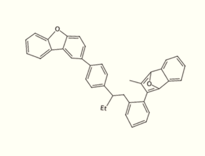 CCC(Cc1ccccc1-c1c(C)c2oc1c1ccccc21)c1ccc(-c2ccc3oc4ccccc4c3c2)cc1